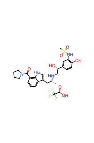 C[C@H](Cc1c[nH]c2c(C(=O)N3CCCC3)cccc12)NC[C@H](O)c1ccc(O)c(NS(C)(=O)=O)c1.O=C(O)C(F)(F)F